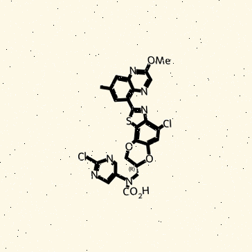 COc1cnc2c(-c3nc4c(Cl)cc5c(c4s3)OC[C@@H](CN(C(=O)O)c3cnc(Cl)nc3)O5)cc(C)cc2n1